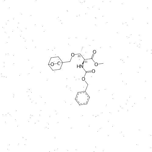 COC(=O)[C@@H](NC(=O)OCc1ccccc1)[C@@H](C)OCC12CCC(CC1)OC2